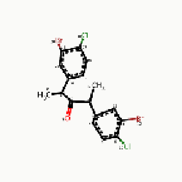 CC(C(=O)C(C)c1ccc(Cl)c(Br)c1)c1ccc(Cl)c(Br)c1